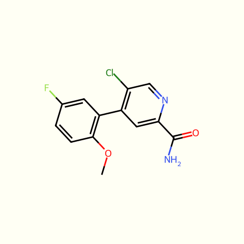 COc1ccc(F)cc1-c1cc(C(N)=O)ncc1Cl